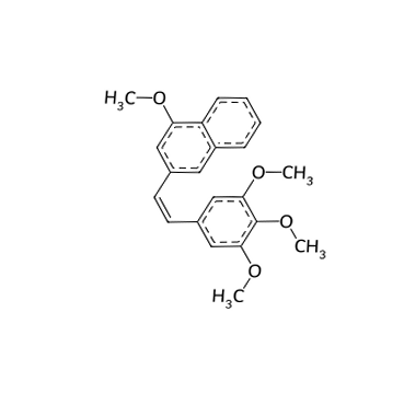 COc1cc(/C=C\c2cc(OC)c3ccccc3c2)cc(OC)c1OC